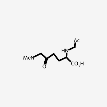 CNCC(=O)CCC(NCC(C)=O)C(=O)O